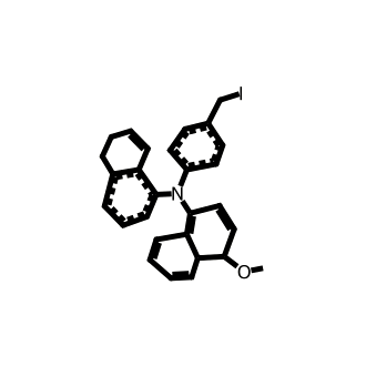 COC1C=CC(N(c2ccc(CI)cc2)c2cccc3c2C=CCC3)=C2C=CC=CC21